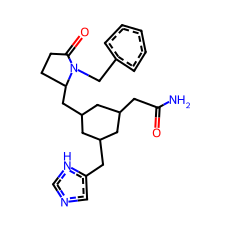 NC(=O)CC1CC(Cc2cnc[nH]2)CC(CC2CCC(=O)N2Cc2ccccc2)C1